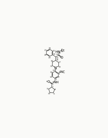 [C-]#[N+]c1cc(NC(=O)C2CCCC2)ccc1N1CCC(C(C(=O)NCC)c2ccccc2)CC1